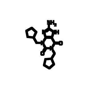 Nc1nc2c([nH]1)c(=O)n(CC1CCCC1)c(=O)n2CC1CCCC1